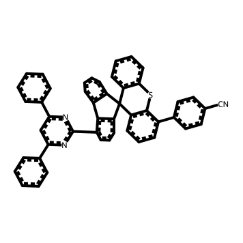 N#Cc1ccc(-c2cccc3c2Sc2ccccc2C32c3ccccc3-c3c(-c4nc(-c5ccccc5)cc(-c5ccccc5)n4)cccc32)cc1